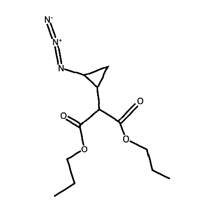 CCCOC(=O)C(C(=O)OCCC)C1CC1N=[N+]=[N-]